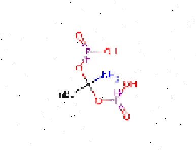 CCCCC(N)(O[PH](=O)O)O[PH](=O)O